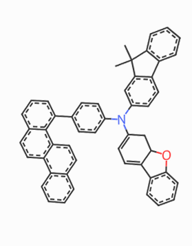 CC1(C)c2ccccc2-c2ccc(N(C3=CC=C4c5ccccc5OC4C3)c3ccc(-c4cccc5ccc6c7ccccc7ccc6c45)cc3)cc21